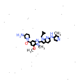 COc1cc(C(=O)N2CCC[C@@H](N)C2)cc2nc(-c3cc4ccc(Nc5ccncc5C)nc4n3CC3CC3)n(C)c12